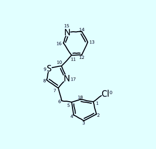 Clc1cccc(Cc2csc(-c3cccnc3)n2)c1